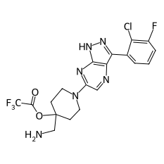 NCC1(OC(=O)C(F)(F)F)CCN(c2cnc3c(-c4cccc(F)c4Cl)n[nH]c3n2)CC1